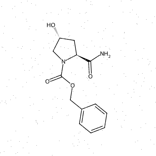 NC(=O)[C@@H]1C[C@@H](O)CN1C(=O)OCc1ccccc1